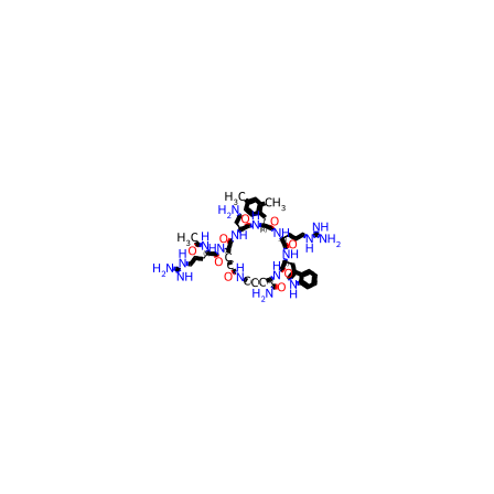 CC(=O)N[C@@H](CCCNC(=N)N)C(=O)N[C@H]1CCC(=O)NCCC[C@@H](C(N)=O)NC(=O)[C@H](Cc2c[nH]c3ccccc23)NC(=O)[C@H](CCCNC(=N)N)NC(=O)[C@@H](Cc2ccc(C)cc2C)NC(=O)[C@H](CCN)NC1=O